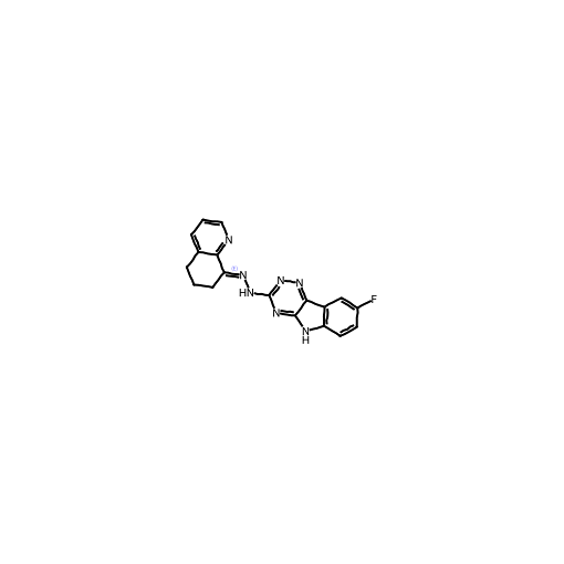 Fc1ccc2[nH]c3nc(N/N=C4\CCCc5cccnc54)nnc3c2c1